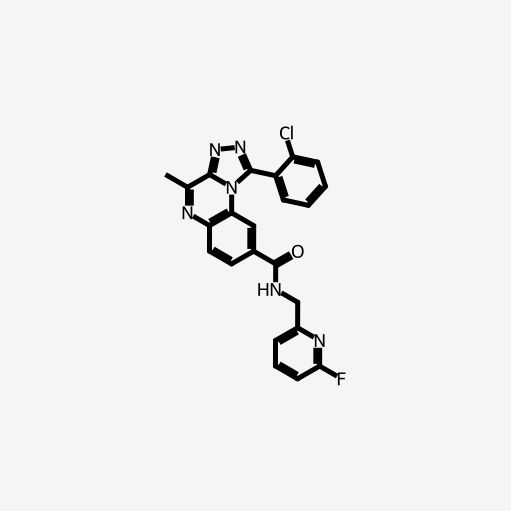 Cc1nc2ccc(C(=O)NCc3cccc(F)n3)cc2n2c(-c3ccccc3Cl)nnc12